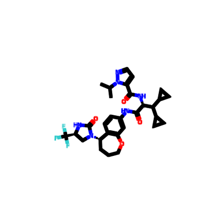 CC(C)n1nccc1C(=O)N[C@H](C(=O)Nc1ccc2c(c1)OCCC[C@@H]2N1C[C@@H](C(F)(F)F)NC1=O)C(C1CC1)C1CC1